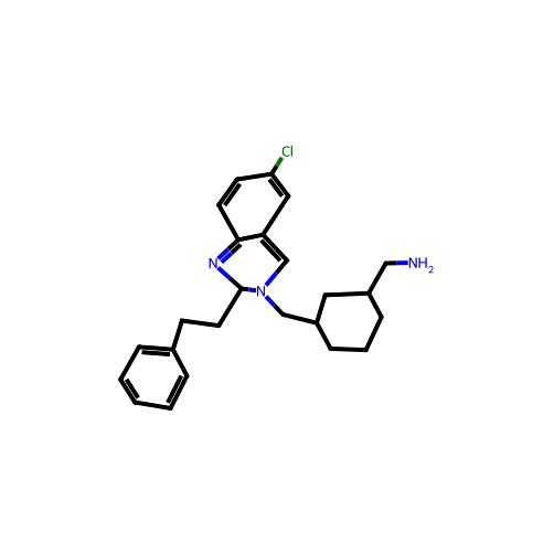 NCC1CCCC(CN2C=c3cc(Cl)ccc3=NC2CCc2ccccc2)C1